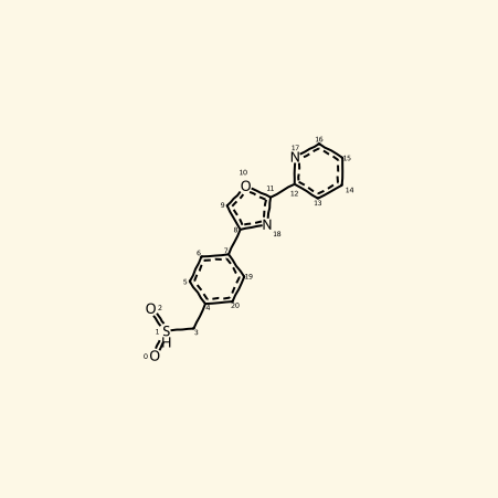 O=[SH](=O)Cc1ccc(-c2coc(-c3ccccn3)n2)cc1